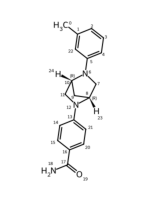 Cc1cccc(N2C[C@H]3C[C@@H]2CN3c2ccc(C(N)=O)cc2)c1